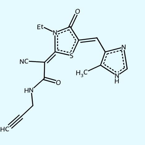 C#CCNC(=O)/C(C#N)=c1\s/c(=C\c2nc[nH]c2C)c(=O)n1CC